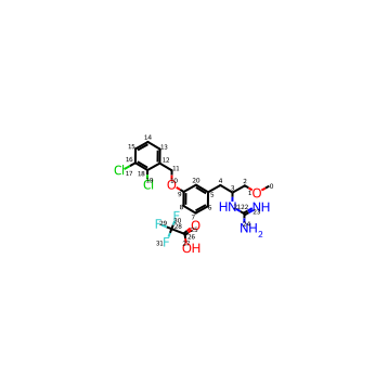 COCC(Cc1cccc(OCc2cccc(Cl)c2Cl)c1)NC(=N)N.O=C(O)C(F)(F)F